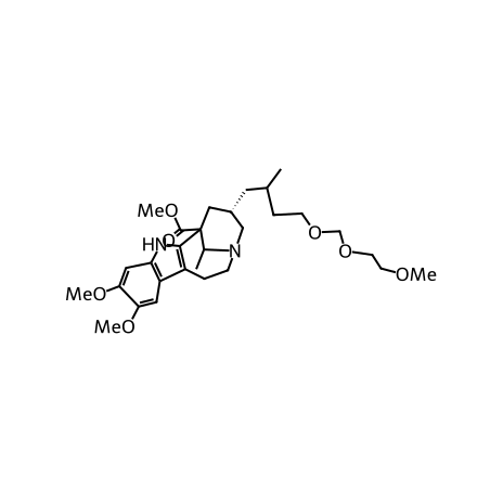 COCCOCOCCC(C)C[C@@H]1CN2CCc3c([nH]c4cc(OC)c(OC)cc34)C(C(=O)OC)(C1)C2C